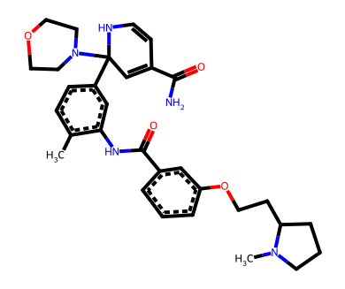 Cc1ccc(C2(N3CCOCC3)C=C(C(N)=O)C=CN2)cc1NC(=O)c1cccc(OCCC2CCCN2C)c1